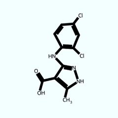 Cc1[nH]nc(Nc2ccc(Cl)cc2Cl)c1C(=O)O